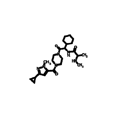 CNC(C)C(=O)NC(C(=O)N1CCN(C(=O)c2cc(C3CC3)nn2C)CC1)C1CCCCC1